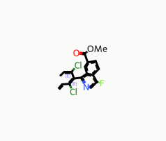 C=C/C(Cl)=C(\C(Cl)=C/C)c1ncc(F)c2ccc(C(=O)OC)cc12